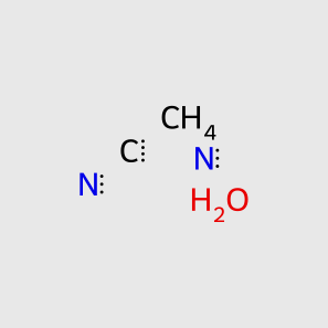 C.O.[C].[N].[N]